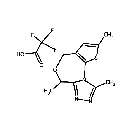 Cc1cc2c(s1)-n1c(C)nnc1C(C)OC2.O=C(O)C(F)(F)F